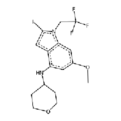 COc1cc(NC2CCOCC2)c2cc(I)n(CC(F)(F)F)c2c1